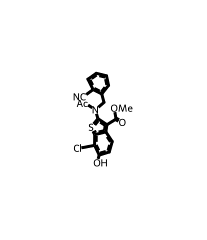 COC(=O)c1c(N(Cc2ccccc2C#N)C(C)=O)sc2c(Cl)c(O)ccc12